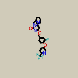 O=c1nc(OCc2ccc(Oc3ccc(C(F)(F)F)nc3)c(F)c2)cc2n1CC13CCC(CC1)N23